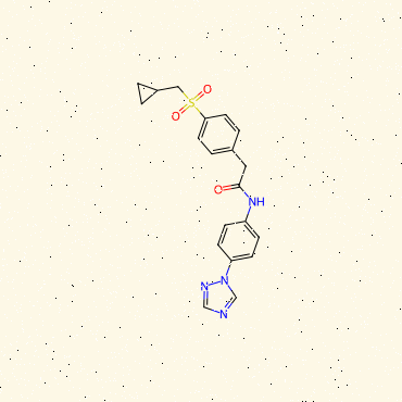 O=C(Cc1ccc(S(=O)(=O)CC2CC2)cc1)Nc1ccc(-n2cncn2)cc1